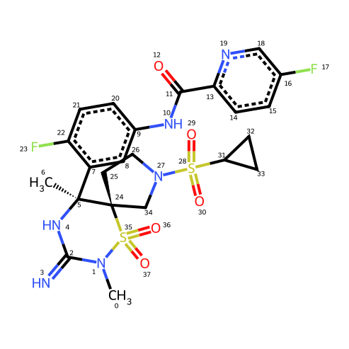 CN1C(=N)N[C@@](C)(c2cc(NC(=O)c3ccc(F)cn3)ccc2F)[C@@]2(CCN(S(=O)(=O)C3CC3)C2)S1(=O)=O